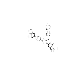 Cc1cc(C[C@@H](NC(=O)C2CCN(c3cc4c([nH]c3=O)SCCC4)CC2)C(=O)N2CCN(C3CCN(C)CC3)CC2)cc2cn[nH]c12